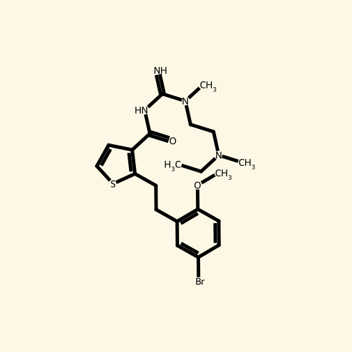 CCN(C)CCN(C)C(=N)NC(=O)c1ccsc1CCc1cc(Br)ccc1OC